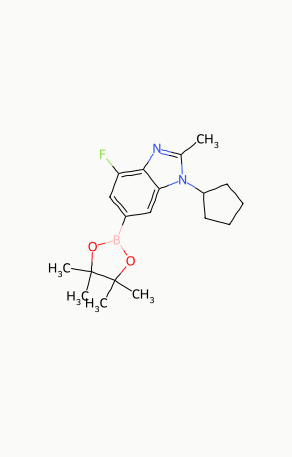 Cc1nc2c(F)cc(B3OC(C)(C)C(C)(C)O3)cc2n1C1CCCC1